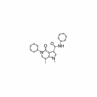 Cc1cn(-c2ccccc2)c(=O)c2c(C(=O)Nc3ccccc3)cn(C)c12